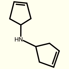 C1=CCC(NC2CC=CC2)C1